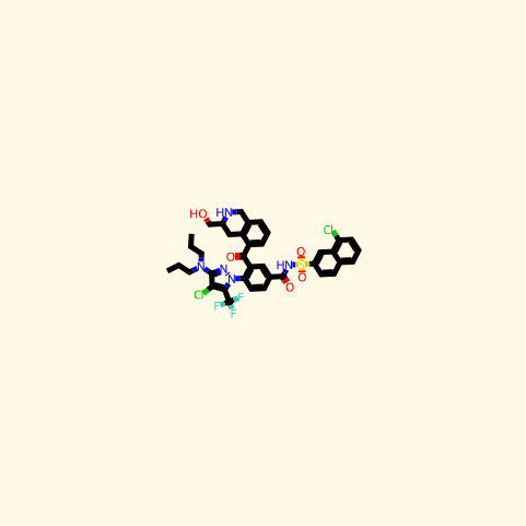 CCCN(CCC)c1nn(-c2ccc(C(=O)NS(=O)(=O)c3ccc4cccc(Cl)c4c3)cc2C(=O)c2cccc3c2CC(CO)NC3)c(C(F)(F)F)c1Cl